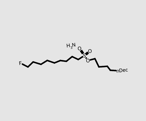 CCCCCCCCCCCCCCOS(=O)(=O)CCCCCCCCCF.N